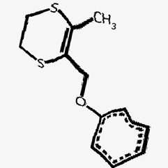 CC1=C(COc2ccccc2)SCCS1